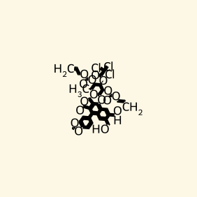 C=CCOC(=O)O[C@H]1[C@H](OC(=O)C(Cl)(Cl)Cl)[C@@H](OC(=O)OCC=C)C(Oc2c3c(c(-c4ccc5c(c4)OCO5)c4cc(CO)c(CO)cc24)C(=O)OC3)O[C@@H]1C